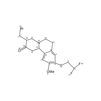 COc1cc2c(cc1OCC(F)F)CCN1CC(CC(C)C)C(=O)CC21